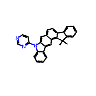 CC1(C)c2ccccc2-c2ccc3cc4c(cc3c21)c1ccccc1n4-c1ccncn1